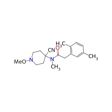 CON1CCC(C#N)(N(C)C(=O)Cc2cc(C)ccc2C)CC1